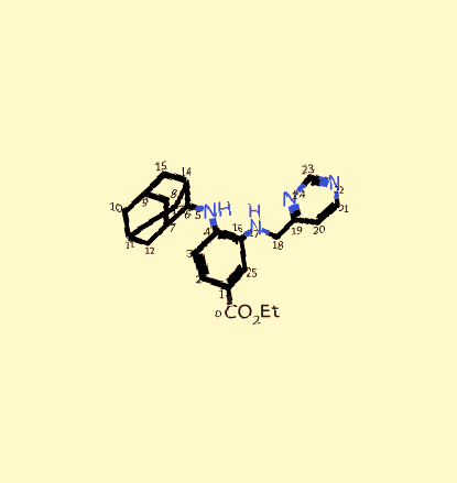 CCOC(=O)c1ccc(NC2C3CC4CC(C3)CC2C4)c(NCc2ccncn2)c1